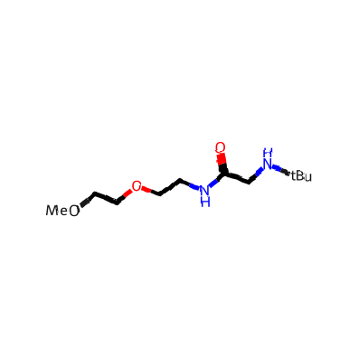 COCCOCCNC(=O)CNC(C)(C)C